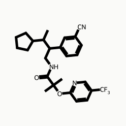 CC(C1CCCC1)C(CNC(=O)C(C)(C)Oc1ccc(C(F)(F)F)cn1)c1cccc(C#N)c1